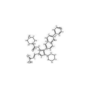 O=C(O)/C=C/c1cc(C2CCCCC2)c(-c2ccc3nc(-c4ccncc4)ccc3c2)n1CC(=O)N1CCOCC1